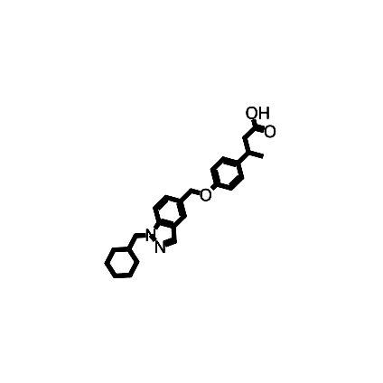 CC(CC(=O)O)c1ccc(OCc2ccc3c(cnn3CC3CCCCC3)c2)cc1